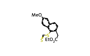 CCOC(=O)Cc1ccc2cc(OC)ccc2c1SC=S